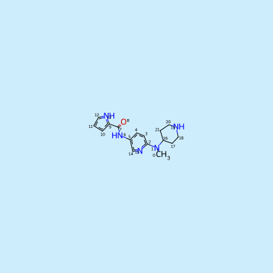 CN(c1ccc(NC(=O)c2ccc[nH]2)cn1)C1CCNCC1